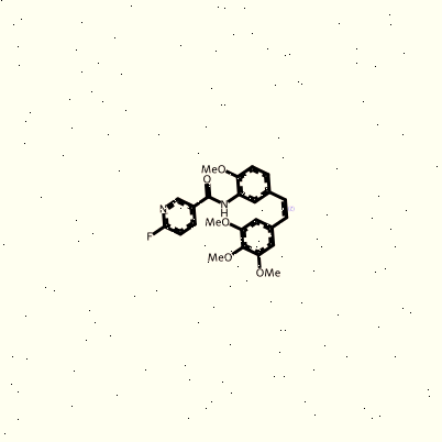 COc1ccc(/C=C\c2cc(OC)c(OC)c(OC)c2)cc1NC(=O)c1ccc(F)nc1